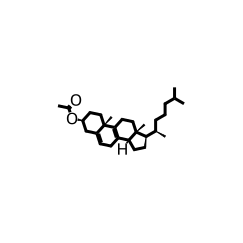 CC(=O)O[C@H]1CC[C@@]2(C)C(=CCC3=C2CC[C@]2(C)[C@@H]([C@H](C)CCCC(C)C)CC[C@@H]32)C1